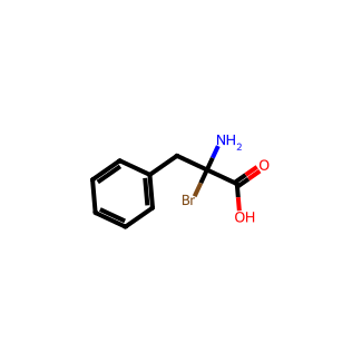 NC(Br)(Cc1ccccc1)C(=O)O